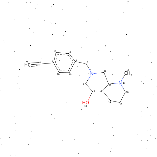 C#Cc1ccc(CN(CCO)CC2CCCCN2C)cc1